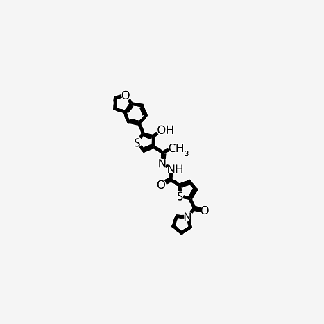 C/C(=N\NC(=O)c1ccc(C(=O)N2CCCC2)s1)c1csc(-c2ccc3c(c2)CCO3)c1O